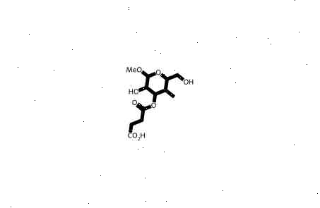 COC1OC(CO)C(C)C(OC(=O)CCC(=O)O)C1O